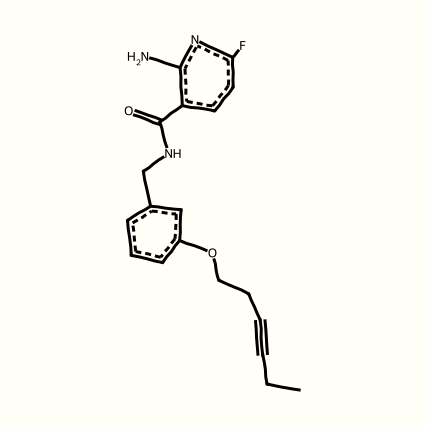 CCC#CCCOc1cccc(CNC(=O)c2ccc(F)nc2N)c1